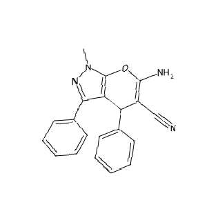 Cn1nc(-c2ccccc2)c2c1OC(N)=C(C#N)C2c1ccccc1